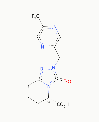 O=C(O)[C@@H]1CCCc2nn(Cc3cnc(C(F)(F)F)cn3)c(=O)n21